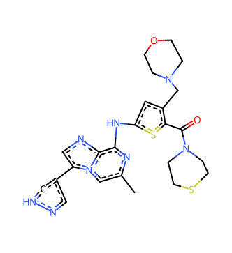 Cc1cn2c(-c3cn[nH]c3)cnc2c(Nc2cc(CN3CCOCC3)c(C(=O)N3CCSCC3)s2)n1